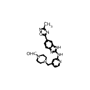 Cc1noc(-c2ccc3nc(Nc4cc(CN5CCN(C=O)CC5)ccn4)[nH]c3c2)n1